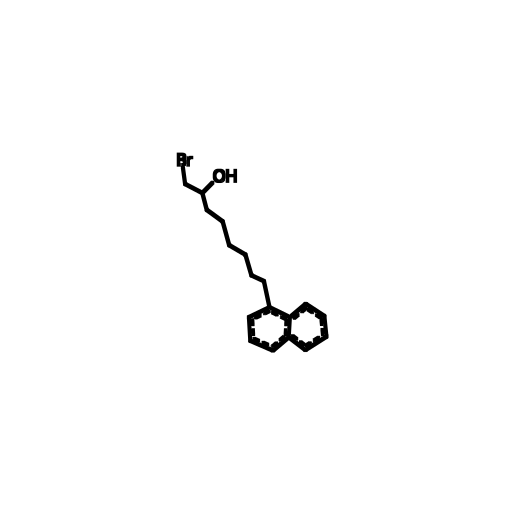 OC(CBr)CCCCCCc1cccc2ccccc12